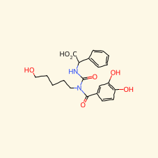 O=C(O)C(NC(=O)N(CCCCCO)C(=O)c1ccc(O)c(O)c1)c1ccccc1